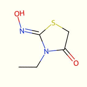 CCN1C(=O)CSC1=NO